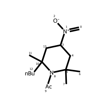 C=[N+]([O-])C1CC(C)(C)N(C(C)=O)C(C)(CCCC)C1